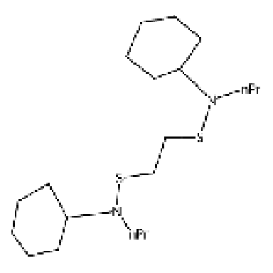 CCCN(SCCSN(CCC)C1CCCCC1)C1CCCCC1